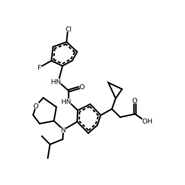 CC(C)CN(c1ccc(C(CC(=O)O)C2CC2)cc1NC(=O)Nc1ccc(Cl)cc1F)C1CCOCC1